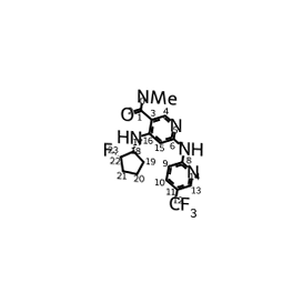 CNC(=O)c1cnc(Nc2ccc(C(F)(F)F)cn2)cc1N[C@@H]1CCC[C@@H]1F